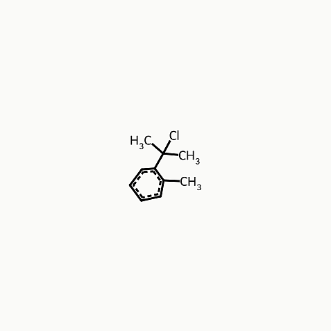 Cc1ccccc1C(C)(C)Cl